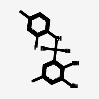 CCC(CC)(Pc1ccc(C)cc1F)c1cc(C)cc(C(C)(C)C)c1O